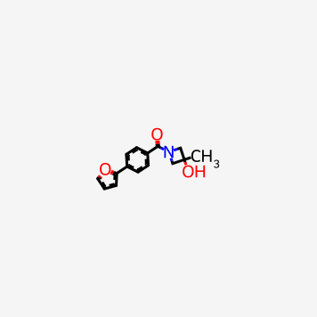 CC1(O)CN(C(=O)c2ccc(-c3ccco3)cc2)C1